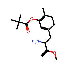 C=C(OC)C(N)CC1=CC(OC(=O)C(C)(C)C)=C(C)CC1